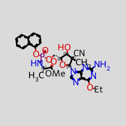 CCOc1nc(N)nc2c1ncn2[C@@H]1O[C@H](COP(=O)(N[C@@H](C)C(=O)OC)Oc2cccc3ccccc23)[C@@H](O)[C@@]1(C)C#N